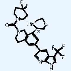 O=C(N1CCC(F)(F)CC1)N1CCc2cc(-c3cnc4[nH]cc(C(F)(F)F)c4c3)cc([C@@H]3COCCN3)c2C1